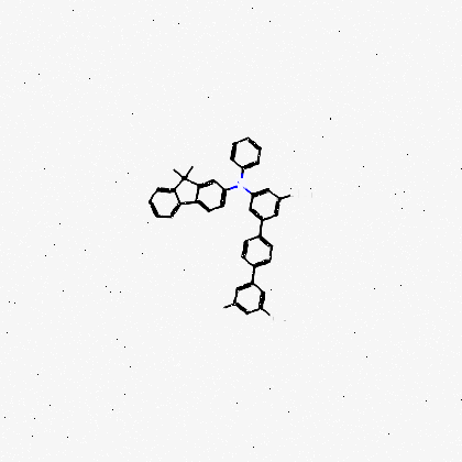 CC(C)(C)c1cc(-c2ccc(-c3cc(C(C)(C)C)cc(C(C)(C)C)c3)cc2)cc(N(c2ccccc2)c2ccc3c(c2)C(C)(C)c2ccccc2-3)c1